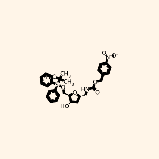 CC(C)(C)[Si](OC[C@H]1O[C@H](CNC(=O)OCc2ccc([N+](=O)[O-])cc2)C[C@@H]1O)(c1ccccc1)c1ccccc1